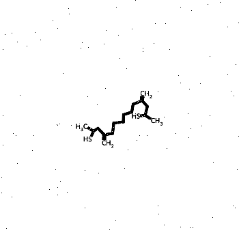 C=C(CCCCCCC(=C)CC(C)S)CC(C)S